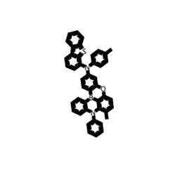 Cc1ccc(N(c2ccc3c(c2)Oc2ccc(C)c4c2B3c2ccccc2N4c2ccccc2)c2cccc3c2sc2ccccc23)cc1